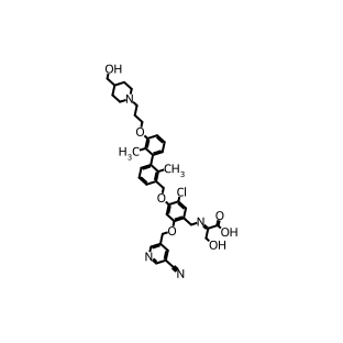 Cc1c(COc2cc(OCc3cncc(C#N)c3)c(C/N=C(\CO)C(=O)O)cc2Cl)cccc1-c1cccc(OCCCN2CCC(CO)CC2)c1C